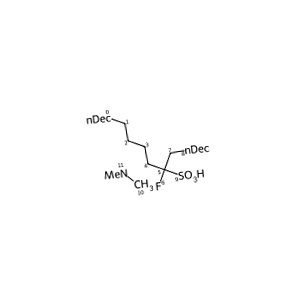 CCCCCCCCCCCCCCC(F)(CCCCCCCCCCC)S(=O)(=O)O.CNC